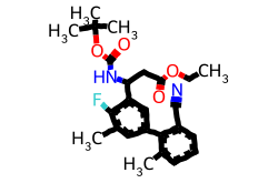 CCOC(=O)CC(NC(=O)OC(C)(C)C)c1cc(-c2c(C)cccc2C#N)cc(C)c1F